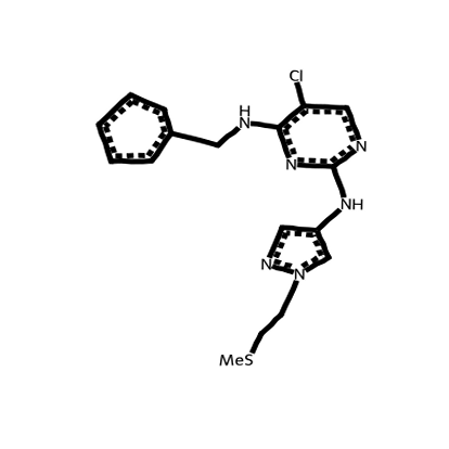 CSCCn1cc(Nc2ncc(Cl)c(NCc3ccccc3)n2)cn1